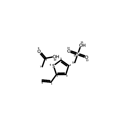 C=Cc1cccs1.CC(=O)O.CS(=O)(=O)O